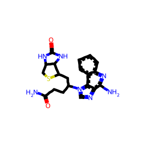 NC(=O)CCC(CC1SCC2NC(=O)NC21)n1cnc2c(N)nc3ccccc3c21